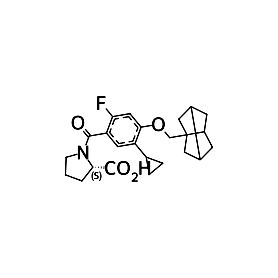 O=C(O)[C@@H]1CCCN1C(=O)c1cc(C2CC2)c(OCC23CC4CC2CC4C3)cc1F